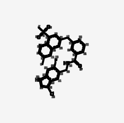 Cc1cnc2c(S(C)(=O)=O)cc(Cc3cc(C(=O)NCc4cc5c(Cl)c[nH]c5cc4F)ccn3)cc2c1